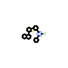 Clc1nc(-c2ccccc2)nc(-c2cccc3c2sc2c(-c4cccc5ccccc45)cccc23)n1